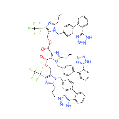 CCCc1nc(C(F)(F)C(F)(F)F)c(COC(=O)c2nc(CCC)n(Cc3ccc(-c4ccccc4-c4nnn[nH]4)cc3)c2C(=O)OCc2c(C(F)(F)C(F)(F)F)nc(CCC)n2Cc2ccc(-c3ccccc3-c3nnn[nH]3)cc2)n1Cc1ccc(-c2ccccc2-c2nnn[nH]2)cc1